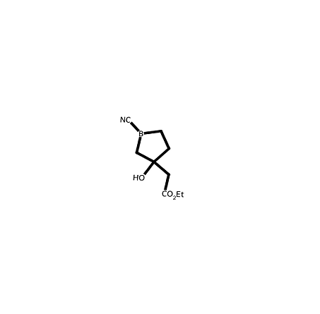 CCOC(=O)CC1(O)CCB(C#N)C1